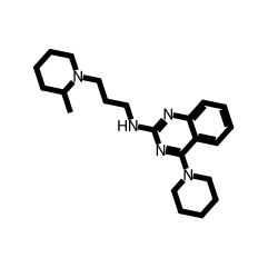 CC1CCCCN1CCCNc1nc(N2CCCCC2)c2ccccc2n1